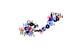 C=CCn1c(=O)c2cnc(Nc3ccc(N4CCN(C(=O)CCCCCCC(=O)N[C@@H](C(=O)N5C[C@H](O)C[C@H]5C(=O)N[C@@H](C)c5ccc(-c6scnc6C)cc5)C(C)(C)C)CC4)cc3)nc2n1-c1ccc2c(n1)[C@@](O)(CC)CC2